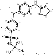 CC(C)(C)NS(=O)(=O)c1ccc(Cc2ccc(NC3=NCCN3)cc2)cc1